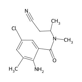 Cc1cc(Cl)cc(C(=O)N(C)C(C)CC#N)c1N